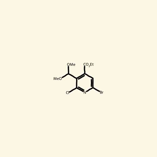 CCOC(=O)c1cc(Br)nc(Cl)c1C(OC)OC